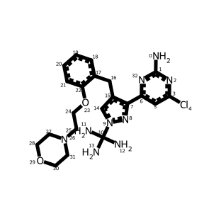 Nc1nc(Cl)cc(-c2nn(C(N)(N)N)cc2Cc2ccccc2OCCN2CCOCC2)n1